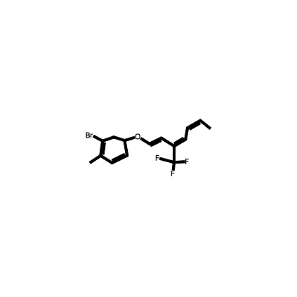 C\C=C/C=C(\C=C\OC1C=CC(C)=C(Br)C1)C(F)(F)F